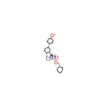 COc1ccc(-c2ccc3c(c2)[C@H]2CC3CCN2C(=O)OCc2ccccc2)cc1